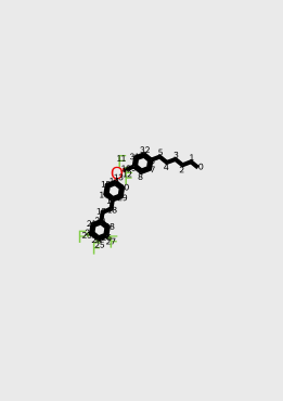 CCCCCCc1ccc(C(F)(F)Oc2ccc(CCc3cc(F)c(F)c(F)c3)cc2)cc1